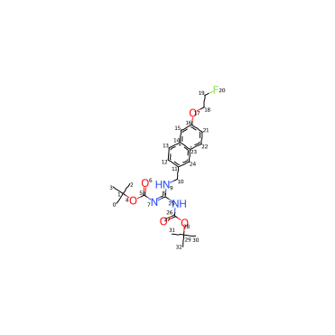 CC(C)(C)OC(=O)/N=C(\NCc1ccc2cc(OCCF)ccc2c1)NC(=O)OC(C)(C)C